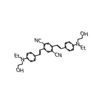 CCN(CCO)c1ccc(/C=C/c2cc(C#N)c(/C=C/c3ccc(N(CC)CCO)cc3)cc2C#N)cc1